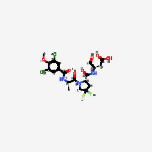 COc1c(Cl)cc(C(=O)N[C@@H](C)C(=O)N2CC(F)(F)C[C@H]2C(=O)N[C@H](C=O)CC(=O)O)cc1Cl